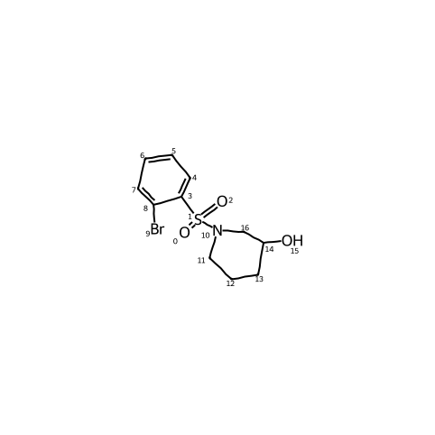 O=S(=O)(c1ccccc1Br)N1CCCC(O)C1